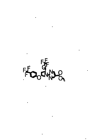 CCOC(=O)c1cnc(N2C[C@H](Oc3ccc(C(F)(F)F)cc3)C[C@H]2COC(F)(F)F)nc1